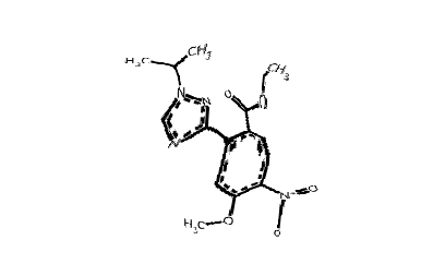 COC(=O)c1cc([N+](=O)[O-])c(OC)cc1-c1ncn(C(C)C)n1